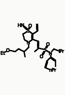 C=CC1=C(/C=C(\C)S(=O)(=O)N(CC(C)C)C(/C=C\CCC)=C/C)N(CC(C)CCOCC)CCS1(=N)=O